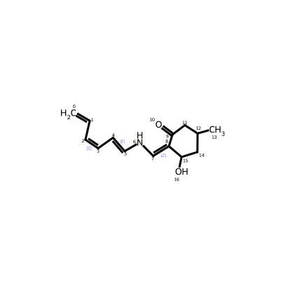 C=C/C=C\C=C\N/C=C1\C(=O)CC(C)CC1O